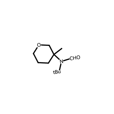 CC(C)(C)N(C=O)C1(C)CCCOC1